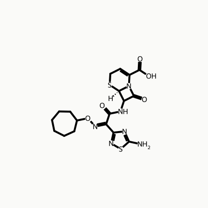 Nc1nc(/C(=N/OC2CCCCCC2)C(=O)NC2C(=O)N3C(C(=O)O)=CCS[C@H]23)ns1